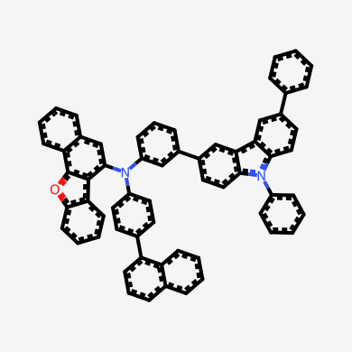 c1ccc(-c2ccc3c(c2)c2cc(-c4cccc(N(c5ccc(-c6cccc7ccccc67)cc5)c5cc6ccccc6c6oc7ccccc7c56)c4)ccc2n3-c2ccccc2)cc1